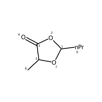 CCCC1OC(=O)C(C)O1